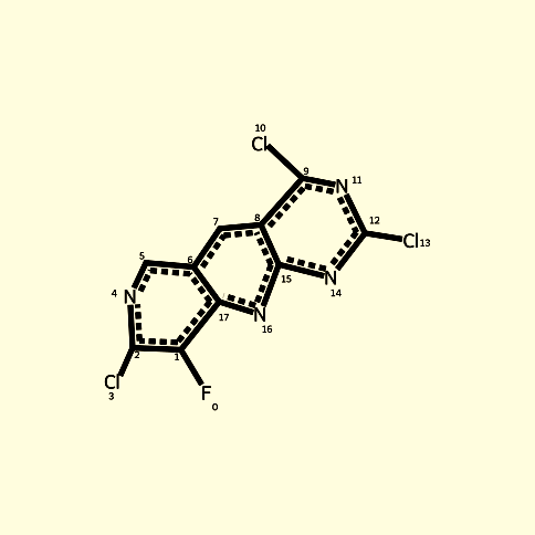 Fc1c(Cl)ncc2cc3c(Cl)nc(Cl)nc3nc12